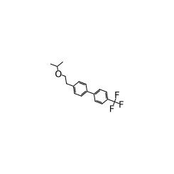 CC(C)OCCc1ccc(-c2ccc(C(F)(F)F)cc2)cc1